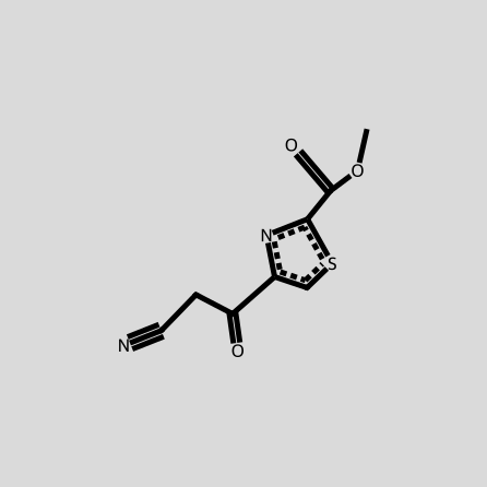 COC(=O)c1nc(C(=O)CC#N)cs1